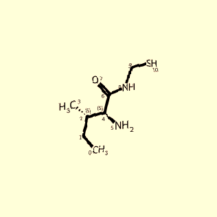 CC[C@H](C)[C@H](N)C(=O)NCS